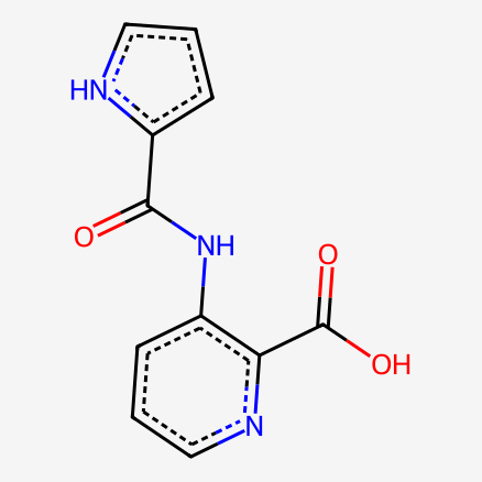 O=C(Nc1cccnc1C(=O)O)c1ccc[nH]1